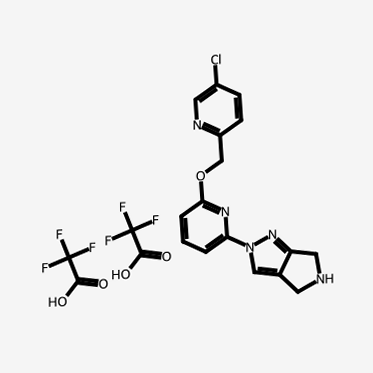 Clc1ccc(COc2cccc(-n3cc4c(n3)CNC4)n2)nc1.O=C(O)C(F)(F)F.O=C(O)C(F)(F)F